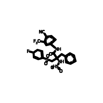 N#Cc1ccc(NC(=O)C(Cc2ccccc2)(CS(=O)(=O)C2=CCC(F)C=C2)N[SH](=O)=O)cc1C(F)(F)F